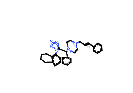 C(=C\c1ccccc1)/CN1CCN(C(c2ccccc2)c2nnnn2-c2cccc3c2CCCC3)CC1